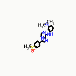 CN(C)c1cccc(Nc2nccn3c(-c4ccc([S+](C)[O-])cc4)cnc23)c1